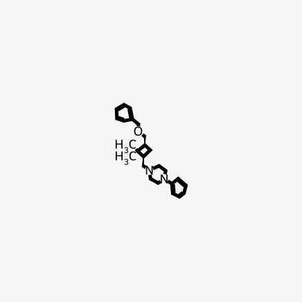 CC1(C)[C@@H](COCc2ccccc2)C[C@H]1CN1CCN(c2ccccc2)CC1